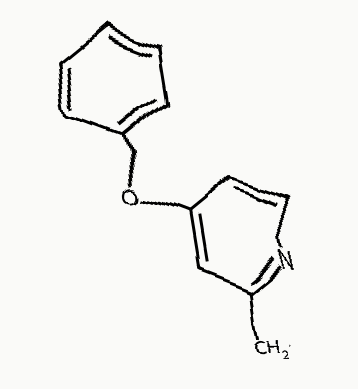 [CH2]c1cc(Oc2ccccc2)ccn1